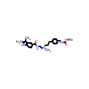 Cc1[nH]c2ccc(C(=O)NCCN(C)CCCc3ccc(CNC(=O)OC(C)(C)C)cc3)cc2c1C